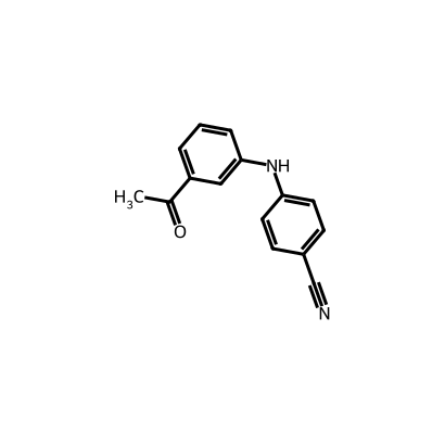 CC(=O)c1cccc(Nc2ccc(C#N)cc2)c1